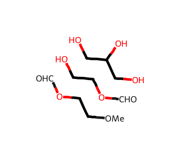 COCCOC=O.O=COCCO.OCC(O)CO